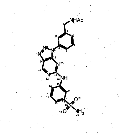 CC(=O)NCc1cccc(-n2nnc3cnc(Nc4cccc(S(N)(=O)=O)c4)nc32)c1